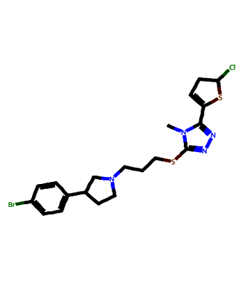 Cn1c(SCCCN2CCC(c3ccc(Br)cc3)C2)nnc1C1=CCC(Cl)S1